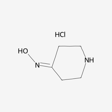 Cl.ON=C1CCNCC1